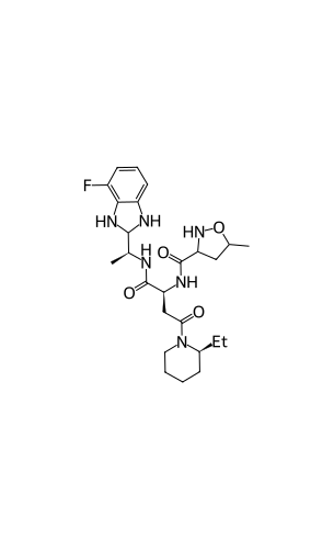 CC[C@H]1CCCCN1C(=O)C[C@H](NC(=O)C1CC(C)ON1)C(=O)N[C@@H](C)C1Nc2cccc(F)c2N1